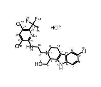 Cl.OCC1c2[nH]c3ccc(Cl)cc3c2CCN1CCNc1nc(C(F)(F)F)c(Cl)cc1Cl